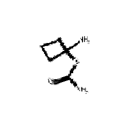 NC(=O)SC1(N)CCC1